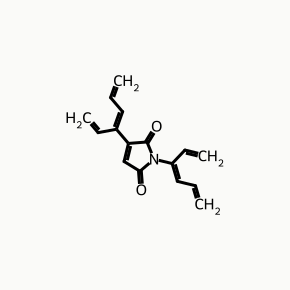 C=C/C=C(\C=C)C1=CC(=O)N(/C(C=C)=C/C=C)C1=O